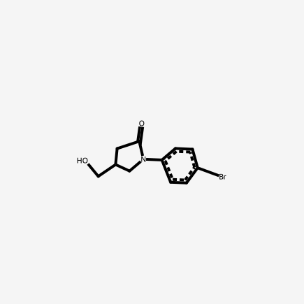 O=C1CC(CO)CN1c1ccc(Br)cc1